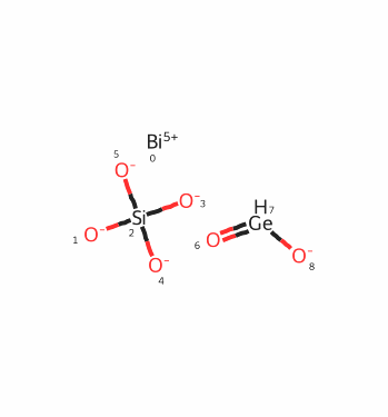 [Bi+5].[O-][Si]([O-])([O-])[O-].[O]=[GeH][O-]